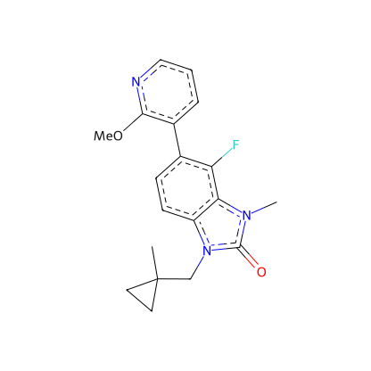 COc1ncccc1-c1ccc2c(c1F)n(C)c(=O)n2CC1(C)CC1